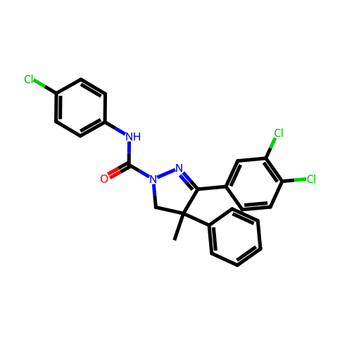 CC1(c2ccccc2)CN(C(=O)Nc2ccc(Cl)cc2)N=C1c1ccc(Cl)c(Cl)c1